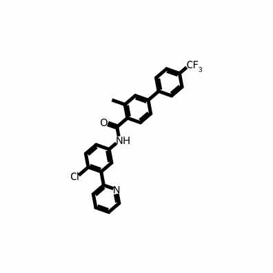 Cc1cc(-c2ccc(C(F)(F)F)cc2)ccc1C(=O)Nc1ccc(Cl)c(-c2ccccn2)c1